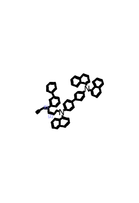 C#C/C=C(\C=C/CN(c1ccc(-c2ccc(N(c3cccc4ccccc34)c3cccc4ccccc34)cc2)cc1)c1cccc2ccccc12)c1cccc(-c2ccccc2)c1